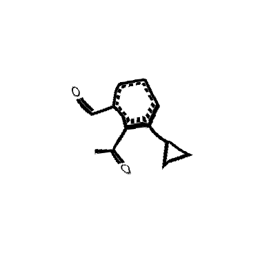 CC(=O)c1c(C=O)cccc1C1CC1